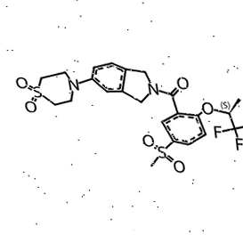 C[C@H](Oc1ccc(S(C)(=O)=O)cc1C(=O)N1Cc2ccc(N3CCS(=O)(=O)CC3)cc2C1)C(F)(F)F